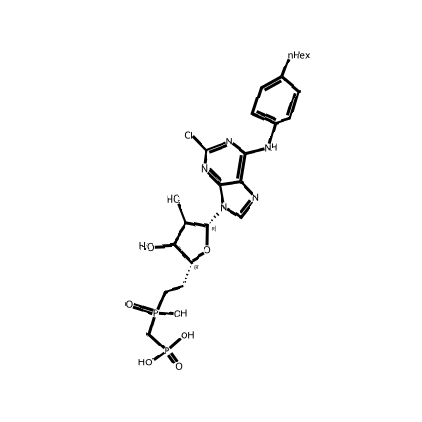 CCCCCCc1ccc(Nc2nc(Cl)nc3c2ncn3[C@@H]2O[C@H](CCP(=O)(O)CP(=O)(O)O)C(O)C2O)cc1